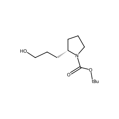 CC(C)(C)OC(=O)N1CCC[C@H]1CCCO